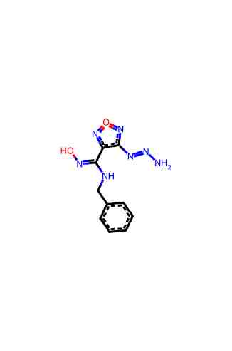 NN=Nc1nonc1C(=NO)NCc1ccccc1